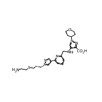 NCCSCCCn1cc(-c2cccc(CNc3cn(C4CCOCC4)nc3C(=O)O)n2)cn1